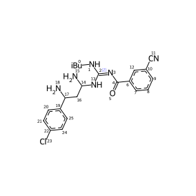 CCC(C)N/C(=N/C(=O)c1cccc(C#N)c1)NC(N)CC(N)c1ccc(Cl)cc1